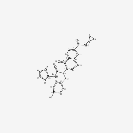 O=C(NC1CC1)c1ccc2c(=O)n(C(Cc3ccc(F)cc3)C(=O)Nc3nccs3)cnc2c1